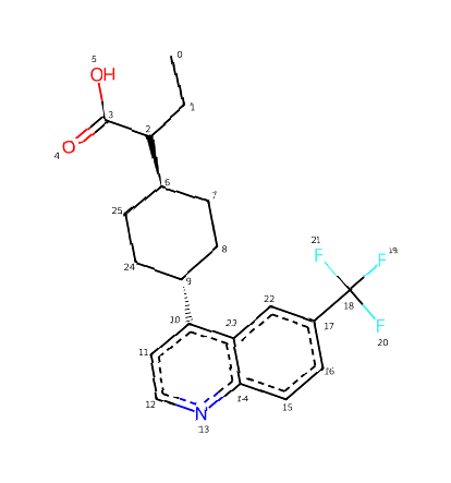 CCC(C(=O)O)[C@H]1CC[C@H](c2ccnc3ccc(C(F)(F)F)cc32)CC1